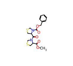 COC(=O)C1CSCN1C(=O)C1CSCN1C(=O)OCc1ccccc1